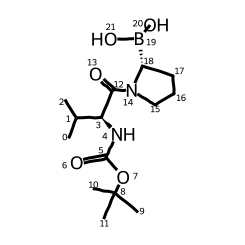 CC(C)[C@H](NC(=O)OC(C)(C)C)C(=O)N1CCC[C@H]1B(O)O